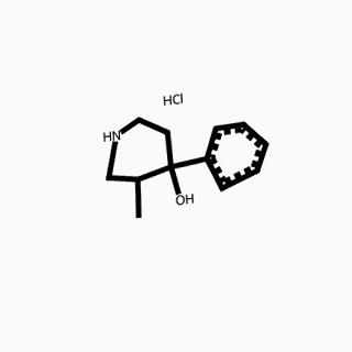 CC1CNCCC1(O)c1ccccc1.Cl